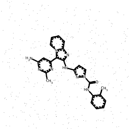 Cc1nc(N)cc(-c2c(Nc3ccn(C(=O)Nc4ccccc4C)n3)nc3ccccn23)n1